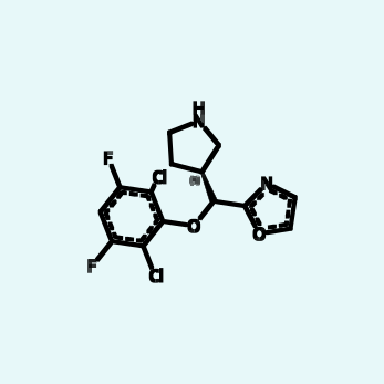 Fc1cc(F)c(Cl)c(OC(c2ncco2)[C@H]2CCNC2)c1Cl